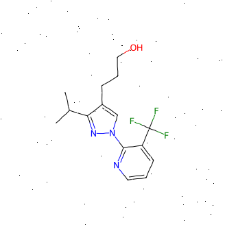 CC(C)c1nn(-c2ncccc2C(F)(F)F)cc1CCCO